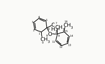 CC1C=CC=CC1(C)OC1(C)C=CC=CC1C